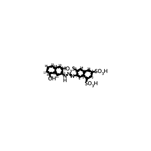 O=S(=O)(O)c1cc(S(=O)(=O)O)c2cc(/N=N/Nc3ccc4cccc(O)c4c3)c(S(=O)(=O)O)cc2c1